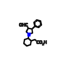 O=CC1CN(C2CCCCC2CC(=O)O)CC1c1ccccc1